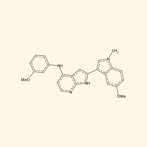 COc1cccc(Nc2ccnc3[nH]c(-c4cn(C)c5ccc(OC)cc45)cc23)c1